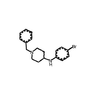 Brc1ccc(NC2CCN(Cc3ccccc3)CC2)cc1